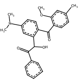 COc1cc(C)ccc1C(=O)c1ccc(N(C)C)cc1C(O)C(=O)c1ccccc1